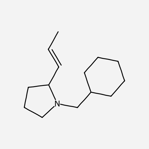 C/C=C/C1CCCN1CC1CCCCC1